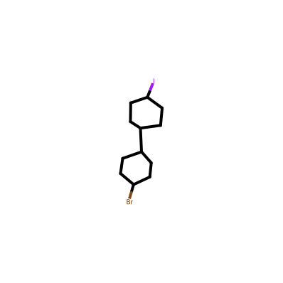 BrC1CCC(C2CCC(I)CC2)CC1